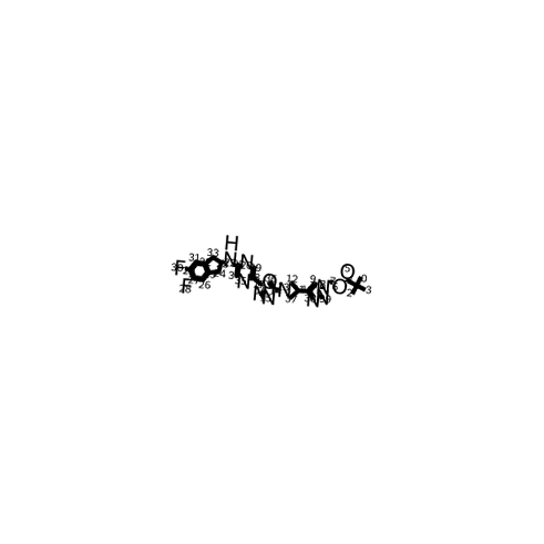 CC(C)(C)C(=O)OCn1cc(C2CN(c3nnc(-c4cnc(NC5Cc6cc(F)c(F)cc6C5)cn4)o3)C2)nn1